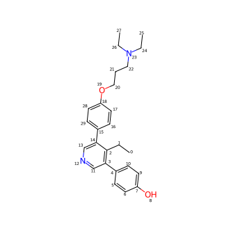 CCc1c(-c2ccc(O)cc2)cncc1-c1ccc(OCCCN(CC)CC)cc1